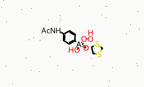 C1CSCS1.CC(=O)Nc1ccc([As](=O)(O)OO)cc1